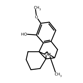 COc1ccc2c(c1O)C13CCCCC1(O)C(C2)N(C)CC3